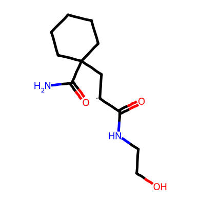 NC(=O)C1(C[CH]C(=O)NCCO)CCCCC1